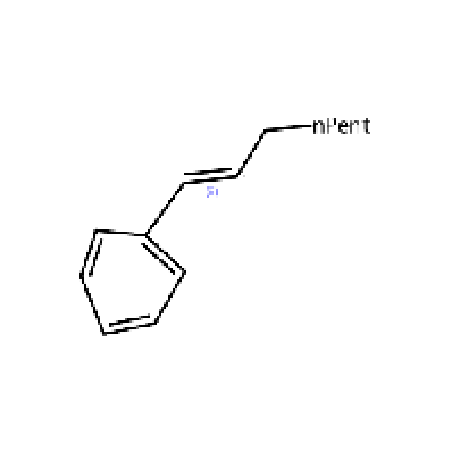 CCCCCC/[C]=C/c1ccccc1